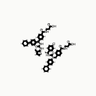 C[C@H](NC(=O)N(Cc1ccc(C(=O)NCCC(=O)O)cc1)c1ccc(C2CCCCC2)cc1)c1ccc(Cl)cc1.Cc1ccsc1NC(=O)NC(c1ccc(C(=O)NCCC(=O)O)cc1)c1ccc(C2=CCCCC2)cc1